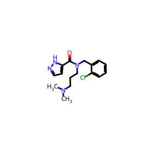 CN(C)CCCN(Cc1ccccc1Cl)C(=O)c1ccn[nH]1